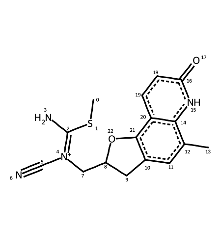 CSC(N)=[N+](C#N)CC1Cc2cc(C)c3[nH]c(=O)ccc3c2O1